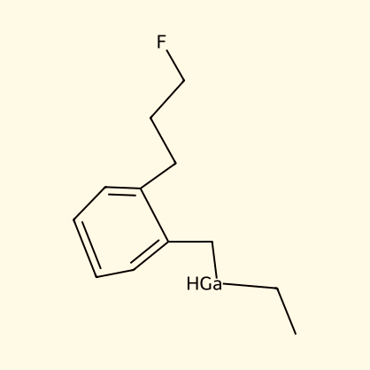 C[CH2][GaH][CH2]c1ccccc1CCCF